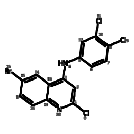 Clc1cc(Nc2ccc(Cl)c(Cl)c2)c2cc(Br)ccc2n1